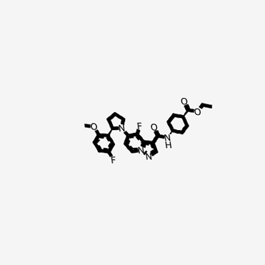 CCOC(=O)[C@H]1CC[C@H](NC(=O)c2cnn3ccc(N4CCC[C@@H]4c4cc(F)ccc4OC)c(F)c23)CC1